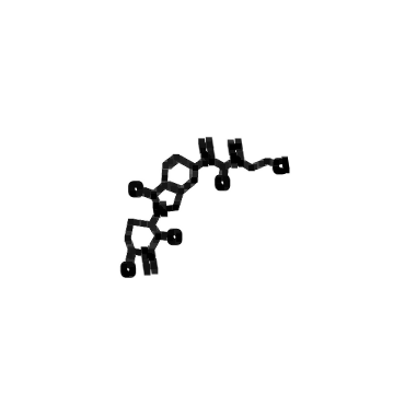 O=C1CCC(N2Cc3cc(NC(=O)NCCCl)ccc3C2=O)C(=O)N1